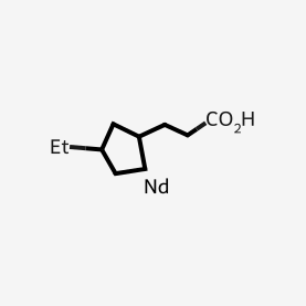 CCC1CCC(CCC(=O)O)C1.[Nd]